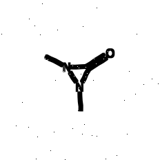 CN1C(=O)N1C